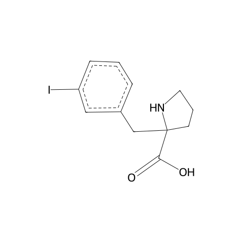 O=C(O)C1(Cc2cccc(I)c2)CCCN1